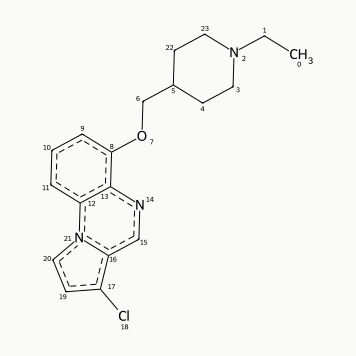 CCN1CCC(COc2cccc3c2ncc2c(Cl)ccn23)CC1